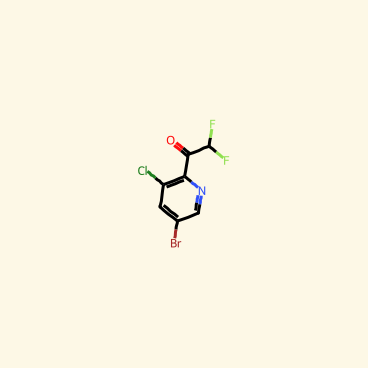 O=C(c1ncc(Br)cc1Cl)C(F)F